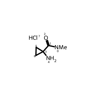 CNC(=O)C1(N)CC1.Cl